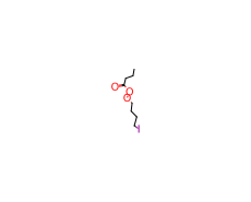 CCCC(=O)OOCCCCI